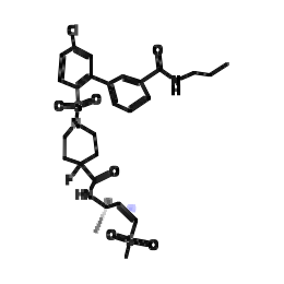 CCCNC(=O)c1cccc(-c2cc(Cl)ccc2S(=O)(=O)N2CCC(F)(C(=O)N[C@@H](C)/C=C\S(C)(=O)=O)CC2)c1